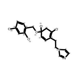 ClC1=C(CCn2ccnc2)C=CC(Cl)(OCc2ccc(Cl)cc2Cl)C1